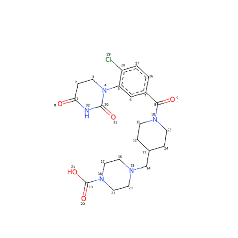 O=C1CCN(c2cc(C(=O)N3CCC(CN4CCN(C(=O)O)CC4)CC3)ccc2Cl)C(=O)N1